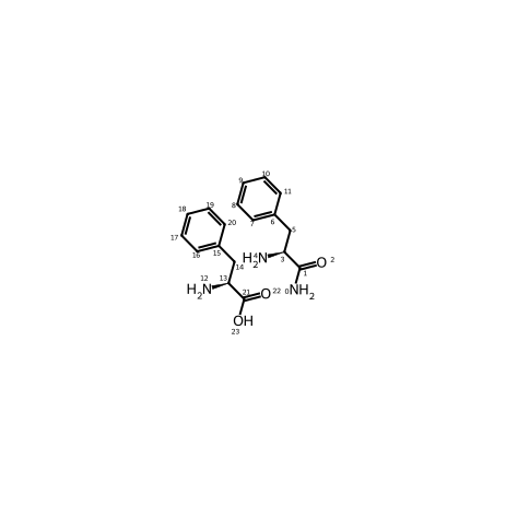 NC(=O)[C@@H](N)Cc1ccccc1.N[C@@H](Cc1ccccc1)C(=O)O